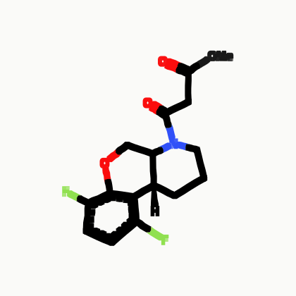 COC(=O)CC(=O)N1CCC[C@@H]2c3c(F)ccc(F)c3OCC21